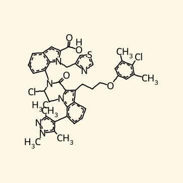 Cc1cc(OCCCc2c3n(c4c(-c5c(C)nn(C)c5C)cccc24)[C@H](C)C(Cl)N(c2cccc4cc(C(=O)O)n(Cc5cscn5)c24)C3=O)cc(C)c1Cl